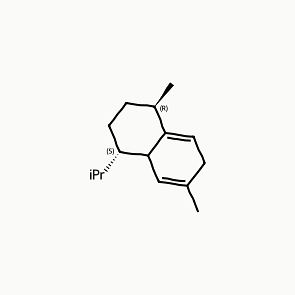 CC1=CC2C(=CC1)[C@H](C)CC[C@H]2C(C)C